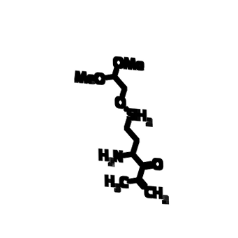 C=C(C)C(=O)C(N)CC[SiH2]OCC(OC)OC